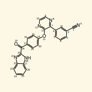 N#Cc1cccc(-c2nccnc2Oc2ccc(C(=O)c3nc4ccccc4[nH]3)cc2)c1